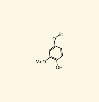 CCOc1ccc(O)c(OC)c1